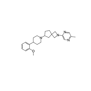 COc1ccccc1C1CCN(C2CCC3(C2)CN(c2cnc(C)cn2)C3)CC1